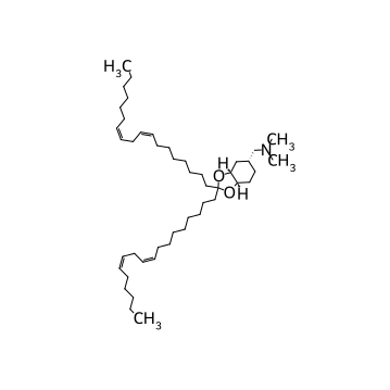 CCCCC/C=C\C/C=C\CCCCCCCCC1(CCCCCCC/C=C\C/C=C\CCCCCC)O[C@H]2CC[C@@H](CN(C)C)C[C@H]2O1